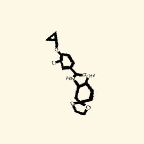 O=C(NC1CC2(CCC1O)OCCO2)c1ccc(OCC2CC2)c(Cl)c1